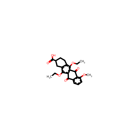 CCOc1c2c(c(OCC)c3c1C(=O)c1cccc(OC)c1C3=O)CCC(C(=O)O)C2